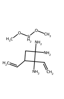 C=CC1CC(N)(N)C1(N)C=C.CO[SiH2]OC